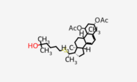 CC(=O)O[C@@H]1CC2=CC=C3[C@@H]4CC[C@H]([C@H](C)SCCCCC(C)(C)O)[C@@]4(C)CC[C@@H]3[C@@]2(C)[C@@H](OC(C)=O)C1